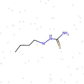 CCCC[N]NC(N)=S